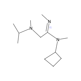 C/N=C(\CN(C)C(C)C)N(C)C1CCC1